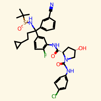 CC(C)(C)[S@@+]([O-])NC(CCC1CC1)(c1cccc(C#N)c1)c1ccc(F)c(NC(=O)[C@@H]2C[C@H](O)CN2C(=O)Nc2ccc(Cl)cc2)c1